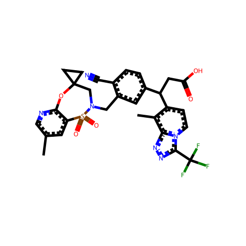 Cc1cnc2c(c1)S(=O)(=O)N(Cc1cc(C(CC(=O)O)c3ccn4c(C(F)(F)F)nnc4c3C)ccc1C#N)CC1(CC1)O2